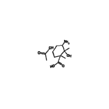 CC(=O)O.CC1(C(=O)O)CCCC(N)C1(C)O